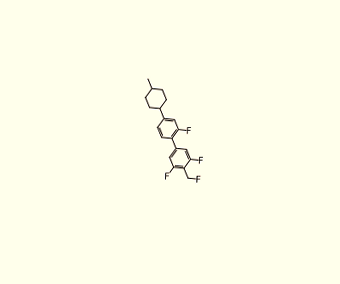 CC1CCC(c2ccc(-c3cc(F)c(CF)c(F)c3)c(F)c2)CC1